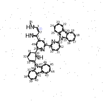 N=C(/C=C\NI)c1cc(-c2cccc(-n3c4ccccc4c4ccccc43)n2)nc(C2C=CC=C(n3c4ccccc4c4ccccc43)N2)c1